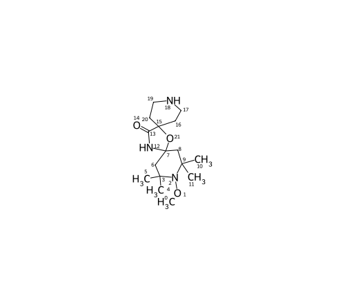 CON1C(C)(C)CC2(CC1(C)C)NC(=O)C1(CCNCC1)O2